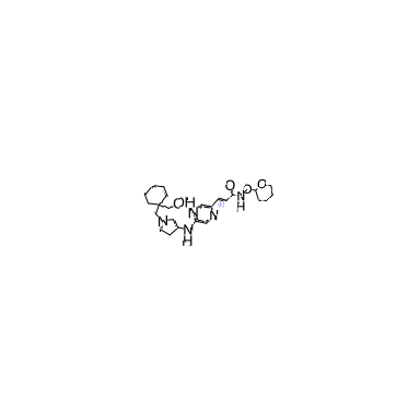 O=C(/C=C/c1cnc(NC2CCN(CC3(CO)CCCCC3)C2)cn1)NOC1CCCCO1